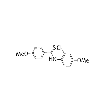 COc1ccc(C(=S)Nc2ccc(OC)cc2Cl)cc1